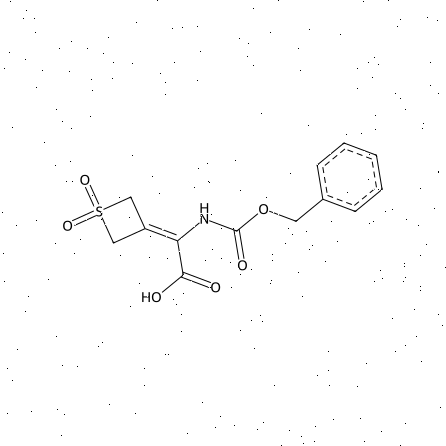 O=C(NC(C(=O)O)=C1CS(=O)(=O)C1)OCc1ccccc1